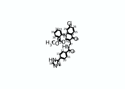 COC(=O)Oc1c(CNC(=O)c2ccc(-c3nnc[nH]3)cc2)c(=O)c2ccc(Cl)cc2n1-c1ccccc1